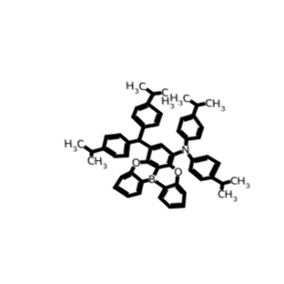 CC(C)c1ccc(C(c2ccc(C(C)C)cc2)c2cc(N(c3ccc(C(C)C)cc3)c3ccc(C(C)C)cc3)c3c4c2Oc2ccccc2B4c2ccccc2O3)cc1